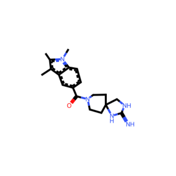 Cc1c(C)n(C)c2ccc(C(=O)N3CCC4(CC3)CNC(=N)N4)cc12